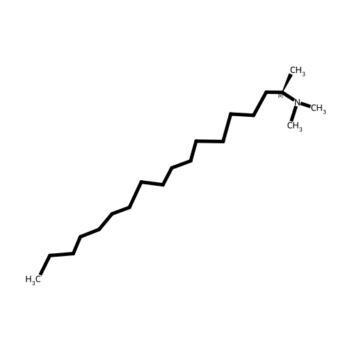 CCCCCCCCCCCCCCCC[C@@H](C)N(C)C